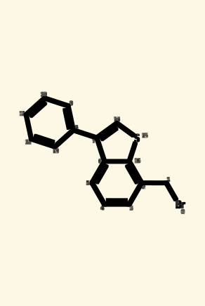 BrCc1cccc2c(-c3ccccc3)csc12